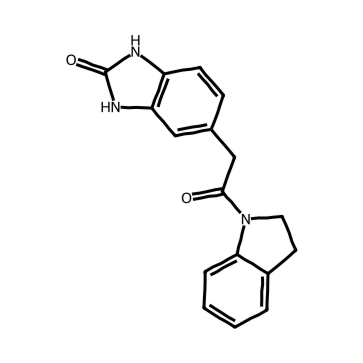 O=C(Cc1ccc2[nH]c(=O)[nH]c2c1)N1CCc2ccccc21